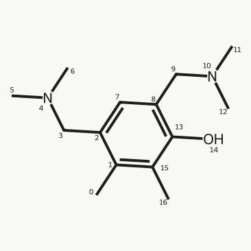 Cc1c(CN(C)C)cc(CN(C)C)c(O)c1C